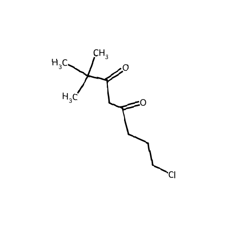 CC(C)(C)C(=O)CC(=O)CCCCl